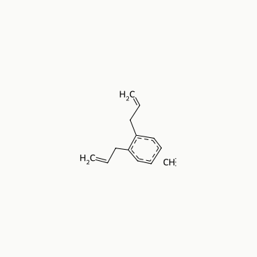 C=CCc1ccccc1CC=C.[CH]